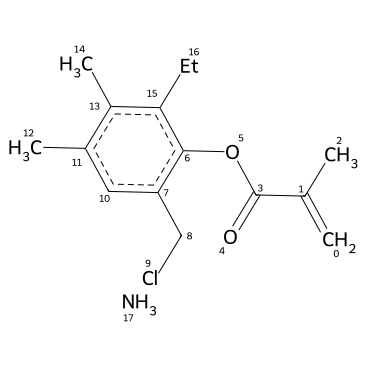 C=C(C)C(=O)Oc1c(CCl)cc(C)c(C)c1CC.N